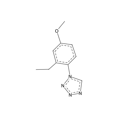 CCc1cc(OC)ccc1-n1cnnn1